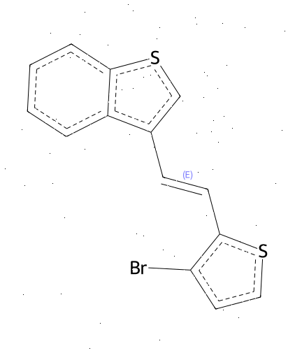 Brc1ccsc1/C=C/c1csc2ccccc12